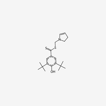 CC(C)(C)c1cc(C(=S)SCN2C=CCC2)cc(C(C)(C)C)c1O